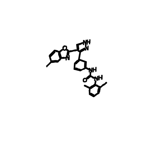 Cc1ccc2oc(-c3c[nH]nc3-c3cccc(NC(=O)Nc4c(C)cccc4C)c3)nc2c1